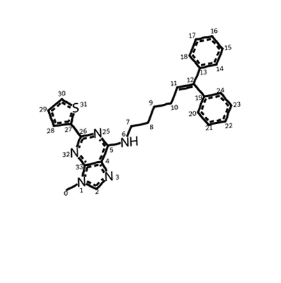 Cn1cnc2c(NCCCCC=C(c3ccccc3)c3ccccc3)nc(-c3cccs3)nc21